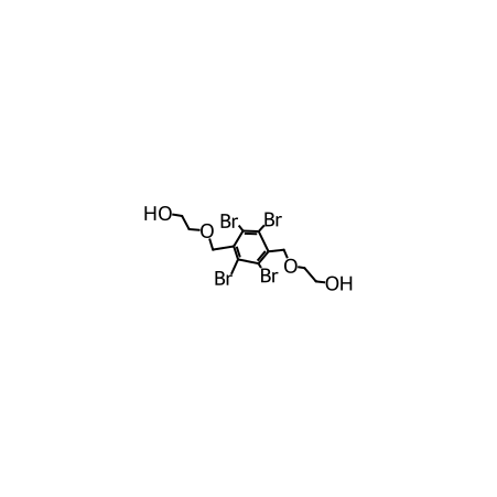 OCCOCc1c(Br)c(Br)c(COCCO)c(Br)c1Br